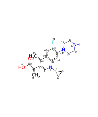 C=C(C(=O)O)C1=CN(C2CC2)c2cc(N3CCNCC3)c(F)cc2C1=C